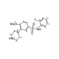 COc1ccc(S(=O)(=O)Nc2ccccc2C)cc1N1CCNCC1